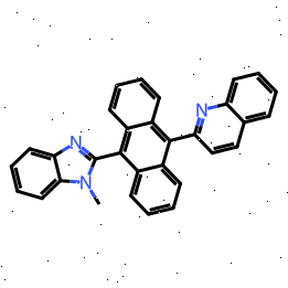 Cn1c(-c2c3ccccc3c(-c3ccc4ccccc4n3)c3ccccc23)nc2ccccc21